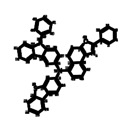 c1ccc(-c2nc3c(ccc4c(N(c5ccc6c(c5)sc5ccccc56)c5ccc6c(c5)c5ccccc5n6-c5ccccc5)cccc43)o2)cc1